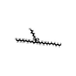 CCCCCCCCCCCCCCCCC(CCCCCCCCCCCC)C(=O)OCCCCCC